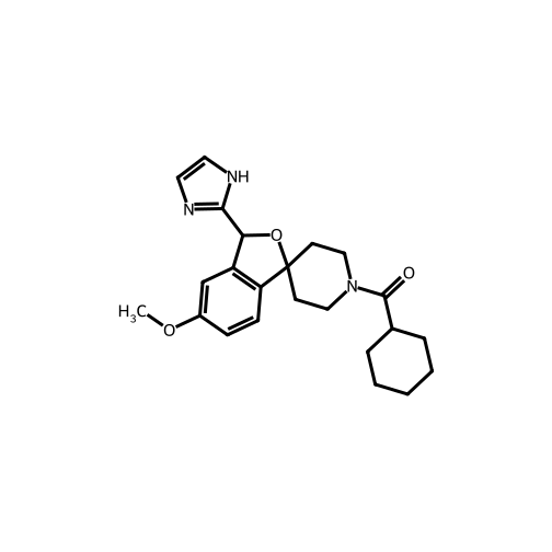 COc1ccc2c(c1)C(c1ncc[nH]1)OC21CCN(C(=O)C2CCCCC2)CC1